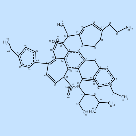 CCc1ccc(Cc2cc(C(=O)N(C)C3=CC=C(CCN)CCC3)c3c(c2C(=O)N(C)C(CO)CC(C)C)C(C=O)C=CC(c2ccc(CC)cc2)=C3C=O)cc1